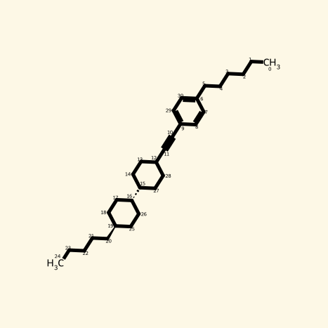 CCCCCCc1ccc(C#CC2CCC([C@H]3CC[C@H](CCCCC)CC3)CC2)cc1